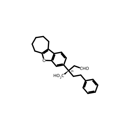 O=CC[C@@](CCc1ccccc1)(C(=O)O)c1ccc2c3c(oc2c1)CCCCC3